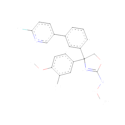 CCOc1ccc(C2(c3cccc(-c4ccc(F)nc4)c3)COC(NOC=O)=N2)cc1C